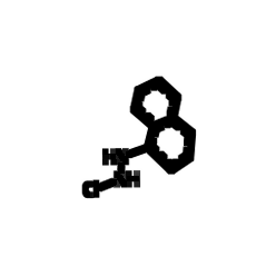 ClNNc1cccc2ccccc12